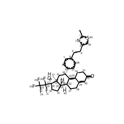 Cc1nc(CCc2ccc([C@H]3C[C@@]4(C)[C@@H](CC[C@@]4(O)C(F)(F)C(F)(F)F)[C@@H]4CCC5=CC(=O)CCC5=C43)cc2)cs1